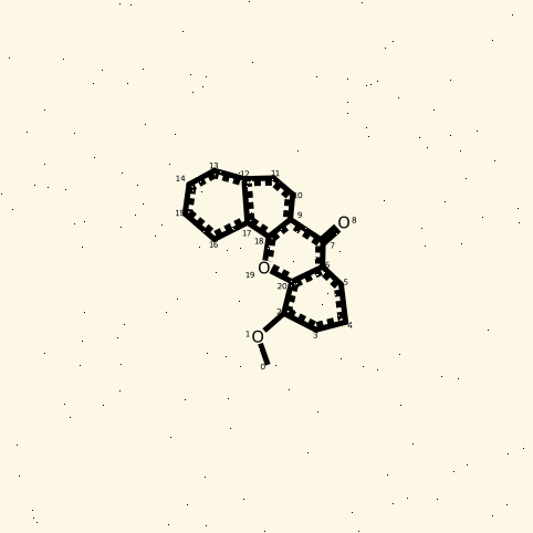 COc1cccc2c(=O)c3ccc4ccccc4c3oc12